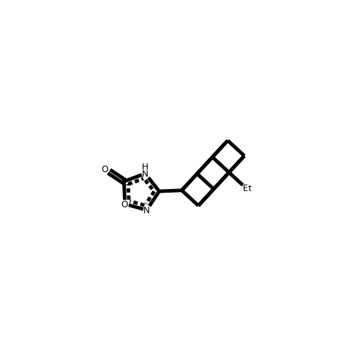 CCC12C3C4C1C1C2C3C41c1noc(=O)[nH]1